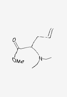 C=CCC(C(=O)OC)N(C)C